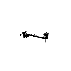 Cc1nc(Nc2ncc(C=O)s2)cc(N2CCN(CCCCCCOCCOCCOCCCCCC(=O)Nc3cccc(C4CCC(=O)NC4=O)c3)CC2)n1